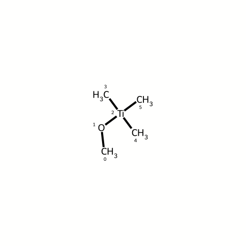 C[O][Ti]([CH3])([CH3])[CH3]